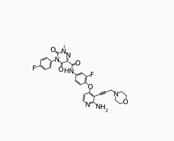 Cn1nc(C(=O)Nc2ccc(Oc3ccnc(N)c3C#CCN3CCOCC3)c(F)c2)c(=O)n(-c2ccc(F)cc2)c1=O